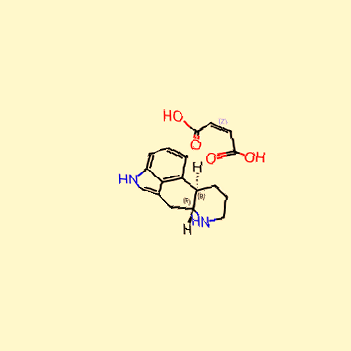 O=C(O)/C=C\C(=O)O.c1cc2c3c(c[nH]c3c1)C[C@H]1NCCC[C@H]21